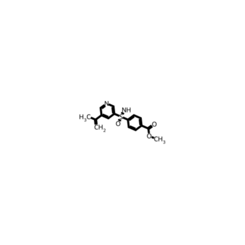 C=C(C)c1cncc(S(=N)(=O)c2ccc(C(=O)OC)cc2)c1